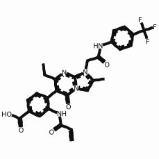 C=CC(=O)Nc1cc(C(=O)O)ccc1-c1c(CC)nc2n(CC(=O)Nc3ccc(C(F)(F)F)cc3)c(C)cn2c1=O